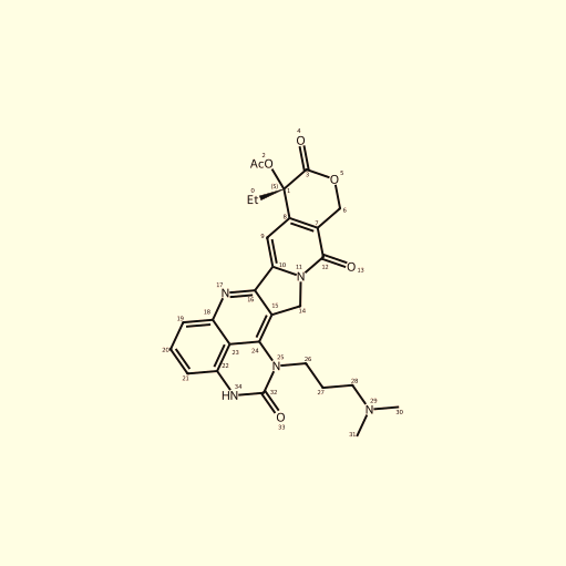 CC[C@@]1(OC(C)=O)C(=O)OCc2c1cc1n(c2=O)Cc2c-1nc1cccc3c1c2N(CCCN(C)C)C(=O)N3